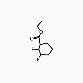 CCOC(=O)C1CCCC(F)C1F